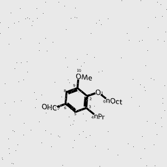 CCCCCCCCOc1c(CCC)cc(C=O)cc1OC